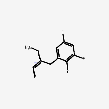 NC/C(=C/F)Cc1cc(F)cc(F)c1F